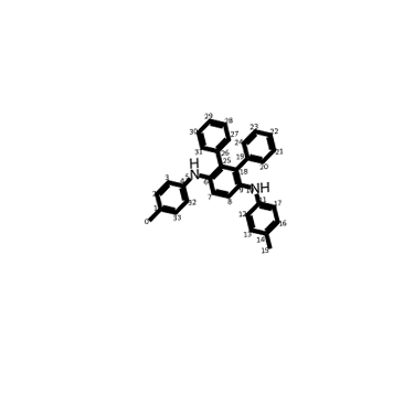 Cc1ccc(Nc2ccc(Nc3ccc(C)cc3)c(-c3ccccc3)c2-c2ccccc2)cc1